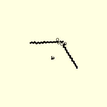 CCCCCCCCC=CCCCCCCCC(=O)OCC(C)OC(=O)CCCCCCCC=CCCCCCCCC.CN(C)C